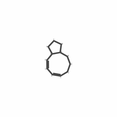 C1=C\CCCC2CCC[C]2\C=C/1